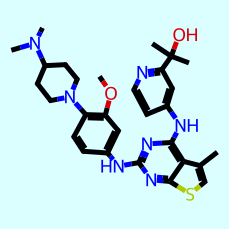 COc1cc(Nc2nc(Nc3ccnc(C(C)(C)O)c3)c3c(C)csc3n2)ccc1N1CCC(N(C)C)CC1